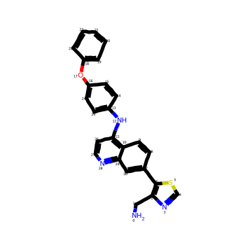 NCc1ncsc1-c1ccc2c(Nc3ccc(Oc4ccccc4)cc3)ccnc2c1